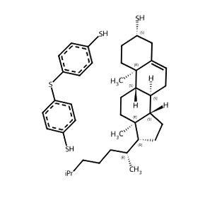 CC(C)CCC[C@@H](C)[C@H]1CC[C@H]2[C@@H]3CC=C4C[C@@H](S)CC[C@]4(C)[C@H]3CC[C@]12C.Sc1ccc(Sc2ccc(S)cc2)cc1